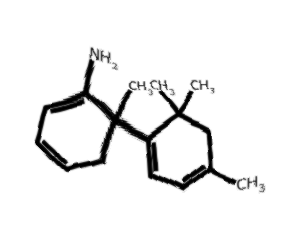 CC1=CC=C(C2(C)CC=CC=C2N)C(C)(C)C1